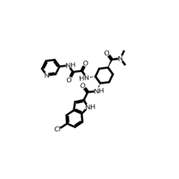 CN(C)C(=O)[C@H]1CC[C@H](NC(=O)c2cc3cc(Cl)ccc3[nH]2)[C@H](NC(=O)C(=O)Nc2cccnc2)C1